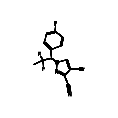 CC(F)(F)C(c1ccc(F)cc1)n1cc(Br)c(C#N)n1